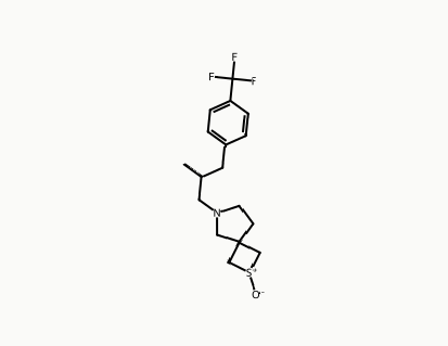 CC(Cc1ccc(C(F)(F)F)cc1)CN1CCC2(C1)C[S+]([O-])C2